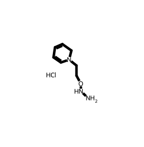 Cl.NNOCCN1C=CC=CC1